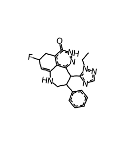 CCn1ncnc1C1c2n[nH]c(=O)c3c2C(=CC(F)C3)NCC1c1ccccc1